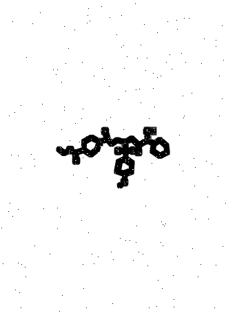 CCOC(=O)C1CCN(C(=O)CCN(CC(=O)N(O)C2CCCCC2)S(=O)(=O)c2ccc(OC)cc2)CC1